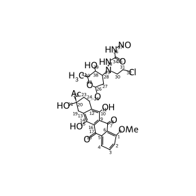 COc1cccc2c1C(=O)c1c(O)c3c(c(O)c1C2=O)C[C@@](O)(C(C)=O)C[C@@H]3OC1CC(N(CCCl)NC(=O)NN=O)C(O)C(C)O1